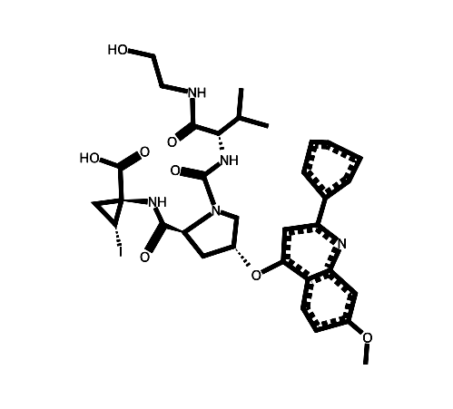 COc1ccc2c(O[C@@H]3C[C@@H](C(=O)N[C@]4(C(=O)O)C[C@H]4I)N(C(=O)N[C@H](C(=O)NCCO)C(C)C)C3)cc(-c3ccccc3)nc2c1